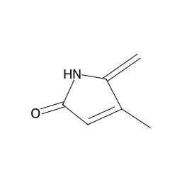 C=C1NC(=O)C=C1C